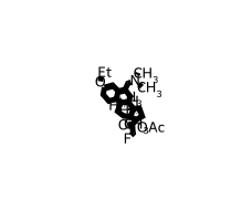 CCOC1=CC2=C(CN(C)C)C[C@@H]3[C@H](CC[C@@]4(C)[C@H]3CC[C@]4(OC(C)=O)C(=O)CF)[C@@]2(C)CC1